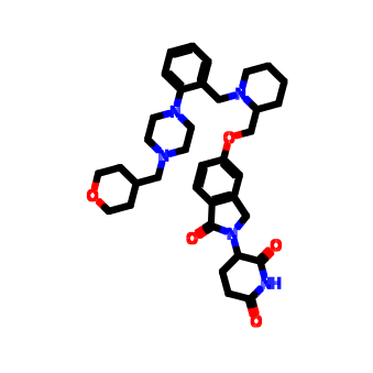 O=C1CCC(N2Cc3cc(OCC4CCCCN4Cc4ccccc4N4CCN(CC5CCOCC5)CC4)ccc3C2=O)C(=O)N1